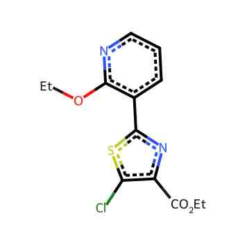 CCOC(=O)c1nc(-c2cccnc2OCC)sc1Cl